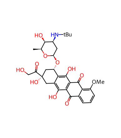 COc1cccc2c1C(=O)c1c(O)c3c(c(O)c1C2=O)C[C@@](O)(C(=O)CO)C[C@@H]3O[C@@H]1C[C@H](NC(C)(C)C)[C@H](O)[C@H](C)O1